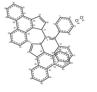 C1=C[CH]([Zr+2](=[C](c2ccccc2)c2ccccc2)[CH]2C=Cc3c2c2ccccc2c2ccccc32)c2c1c1ccccc1c1ccccc21.[Cl-].[Cl-]